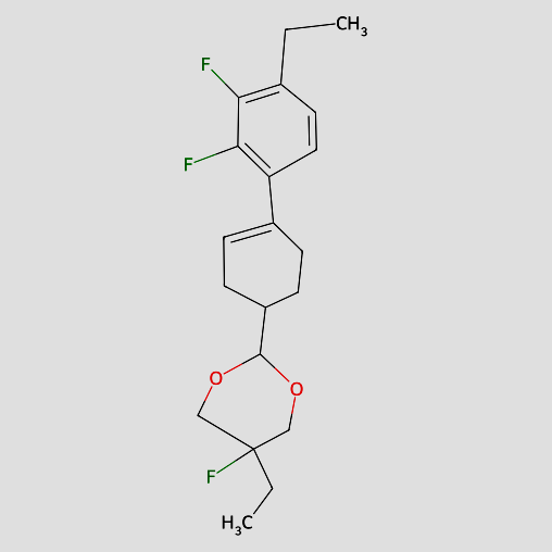 CCc1ccc(C2=CCC(C3OCC(F)(CC)CO3)CC2)c(F)c1F